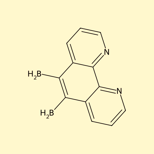 Bc1c(B)c2cccnc2c2ncccc12